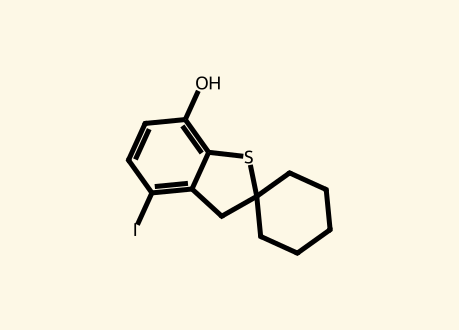 Oc1ccc(I)c2c1SC1(CCCCC1)C2